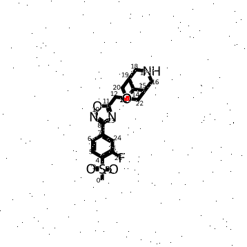 CS(=O)(=O)c1ccc(-c2noc(COC3C4CNCC3COC4)n2)cc1F